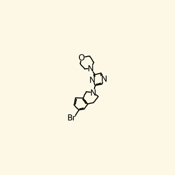 Brc1ccc2c(c1)CCN(c1cncc(N3CCOCC3)n1)C2